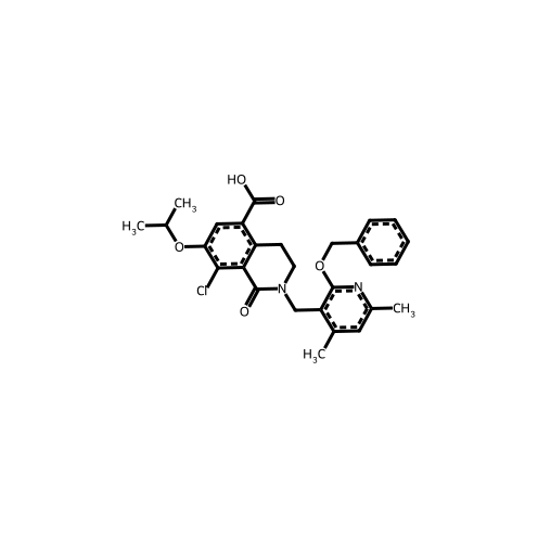 Cc1cc(C)c(CN2CCc3c(C(=O)O)cc(OC(C)C)c(Cl)c3C2=O)c(OCc2ccccc2)n1